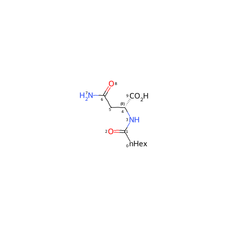 CCCCCCC(=O)N[C@H](CC(N)=O)C(=O)O